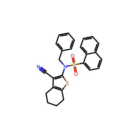 N#Cc1c(N(Cc2ccccc2)S(=O)(=O)c2cccc3ccccc23)sc2c1CCCC2